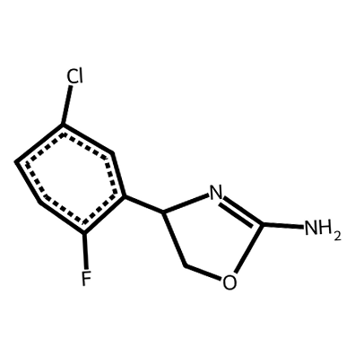 NC1=NC(c2cc(Cl)ccc2F)CO1